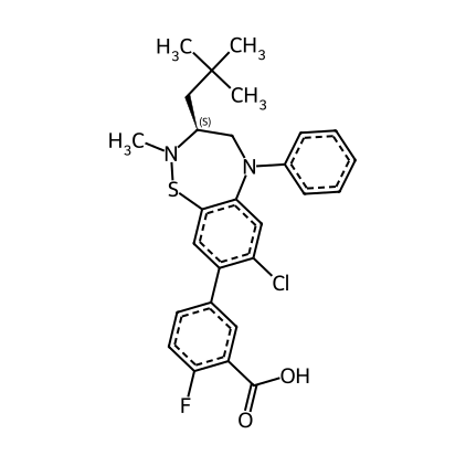 CN1Sc2cc(-c3ccc(F)c(C(=O)O)c3)c(Cl)cc2N(c2ccccc2)C[C@@H]1CC(C)(C)C